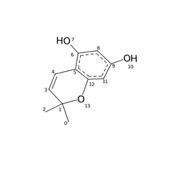 CC1(C)C=Cc2c(O)cc(O)cc2O1